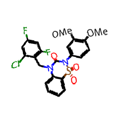 COc1ccc(N2C(=O)N(Cc3c(F)cc(F)cc3Cl)c3ccccc3S2(=O)=O)cc1OC